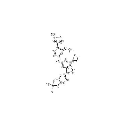 COc1cc(Nc2nc3c(c(N4CCC4)n2)CC[C@H]3c2ccc(OC(F)(F)F)cc2)ccc1-c1nc(Cl)c[nH]1